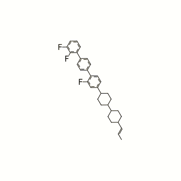 C/C=C/C1CCC(C2CCC(c3ccc(-c4ccc(-c5cccc(F)c5F)cc4)c(F)c3)CC2)CC1